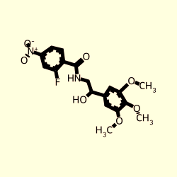 COc1cc(C(O)CNC(=O)c2ccc([N+](=O)[O-])cc2F)cc(OC)c1OC